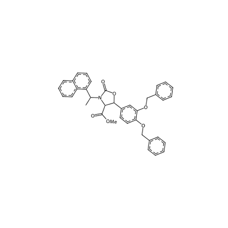 COC(=O)C1C(c2ccc(OCc3ccccc3)c(OCc3ccccc3)c2)OC(=O)N1C(C)c1cccc2ccccc12